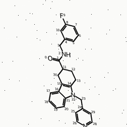 O=C(NCc1cccc(F)c1)C1CCc2c(c3ccccc3n2Cc2ccncc2)C1